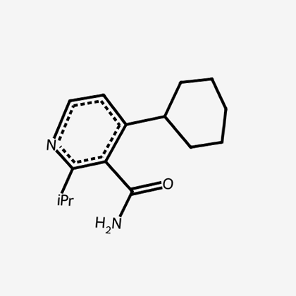 CC(C)c1nccc(C2CCCCC2)c1C(N)=O